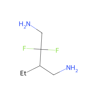 CCC(CN)C(F)(F)CN